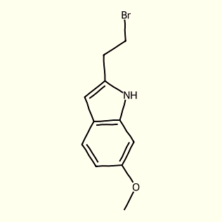 COc1ccc2cc(CCBr)[nH]c2c1